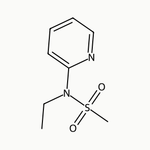 CCN(c1ccccn1)S(C)(=O)=O